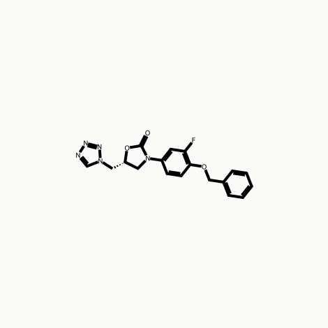 O=C1O[C@@H](Cn2cnnn2)CN1c1ccc(OCc2ccccc2)c(F)c1